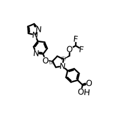 O=C(O)c1ccc(N2C[C@@H](Oc3ccc(-n4cccn4)cn3)C[C@H]2COC(F)F)cc1